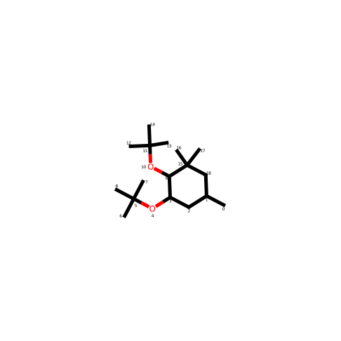 CC1CC(OC(C)(C)C)C(OC(C)(C)C)C(C)(C)C1